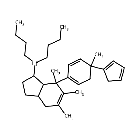 CCC[CH2][Hf]([CH2]CCC)[CH]1CCC2CC(C)=C(C)C(C)(C3=CCC(C)(C4=CC=CC4)C=C3)C21